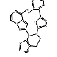 Cc1ncccc1-c1nnc(N2CCc3[nH]cnc3C2c2cc3c(Cl)cccn3n2)o1